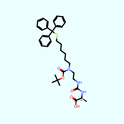 C[C@H](NC(=O)NCCN(CCCCCCSC(c1ccccc1)(c1ccccc1)c1ccccc1)C(=O)OC(C)(C)C)C(=O)O